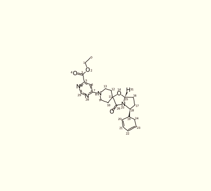 CCOC(=O)c1cc(N2CCC3(CC2)O[C@@H]2CC[C@@H](C4C=CC=CC4)N2C3=O)ncn1